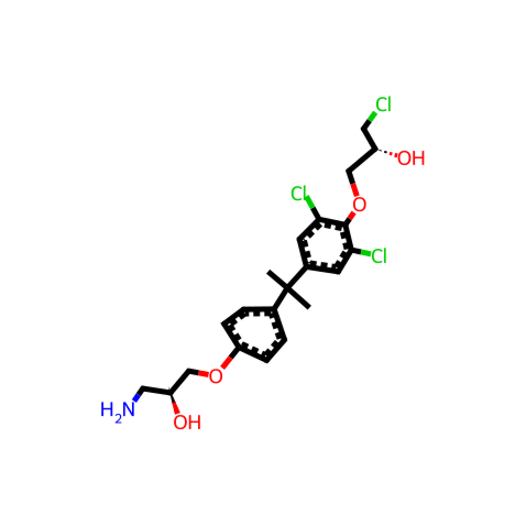 CC(C)(c1ccc(OC[C@@H](O)CN)cc1)c1cc(Cl)c(OC[C@@H](O)CCl)c(Cl)c1